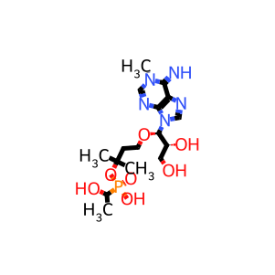 CC(O)P(=O)(O)OC(C)(C)CCO[C@H]([C@H](O)CO)n1cnc2c(=N)n(C)cnc21